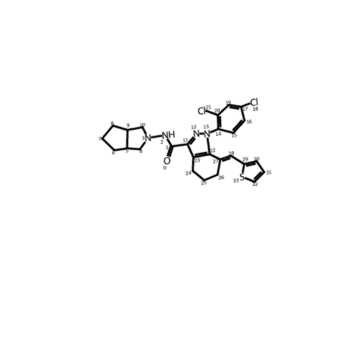 O=C(NN1CC2CCCC2C1)c1nn(-c2ccc(Cl)cc2Cl)c2c1CCC/C2=C\c1cccs1